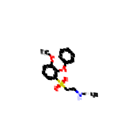 O=C(O)NCCS(=O)(=O)c1cccc(OC(F)(F)F)c1Oc1ccccc1